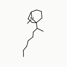 CCCCCCC(C)C12CCCC(CC1)N2C